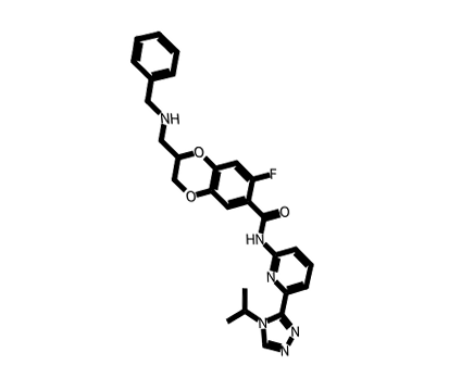 CC(C)n1cnnc1-c1cccc(NC(=O)c2cc3c(cc2F)OC(CNCc2ccccc2)CO3)n1